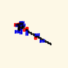 CCCCCCNCCCCCC(=O)NCCCCCCNC(=O)OC[C@@H]1NC(=N)N2CCC(O)(O)[C@@]23NC(=N)N[C@@H]13